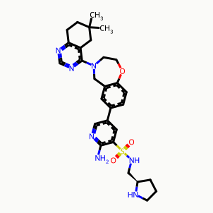 CC1(C)CCc2ncnc(N3CCOc4ccc(-c5cnc(N)c(S(=O)(=O)NC[C@H]6CCCN6)c5)cc4C3)c2C1